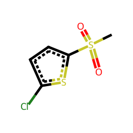 CS(=O)(=O)c1ccc(Cl)s1